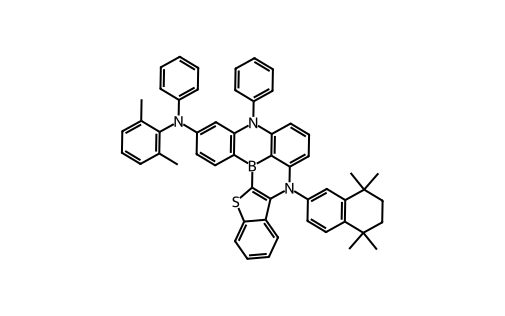 Cc1cccc(C)c1N(c1ccccc1)c1ccc2c(c1)N(c1ccccc1)c1cccc3c1B2c1sc2ccccc2c1N3c1ccc2c(c1)C(C)(C)CCC2(C)C